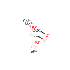 O=C([O-])[O-].O=C([O-])[O-].[Al+3].[Ca+2].[Mg+2].[OH-].[OH-].[OH-]